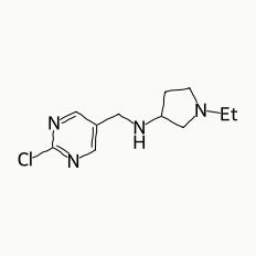 CCN1CCC(NCc2cnc(Cl)nc2)C1